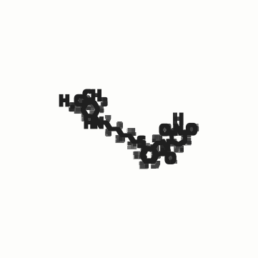 CC1(C)CCC(NCCCCCCSc2cccc3c2CN(C2CCC(=O)NC2=O)C3=O)CC1